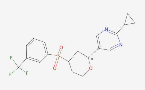 O=S(=O)(c1cccc(C(F)(F)F)c1)C1CCO[C@@H](c2cnc(C3CC3)nc2)C1